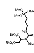 CCCCN(C(=O)NCCC[Si](OC)(OC)OC)C(CC(=O)OCC)C(=O)OCC